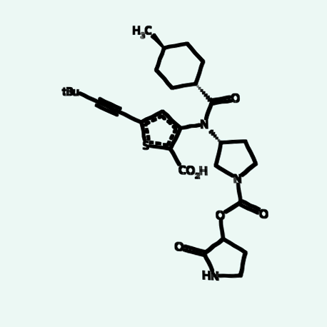 CC(C)(C)C#Cc1cc(N(C(=O)[C@H]2CC[C@H](C)CC2)[C@@H]2CCN(C(=O)OC3CCNC3=O)C2)c(C(=O)O)s1